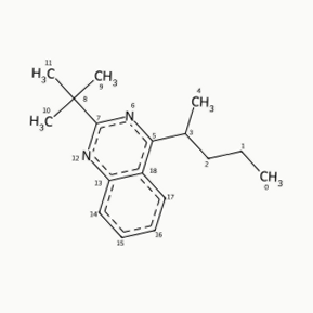 CCCC(C)c1nc(C(C)(C)C)nc2ccccc12